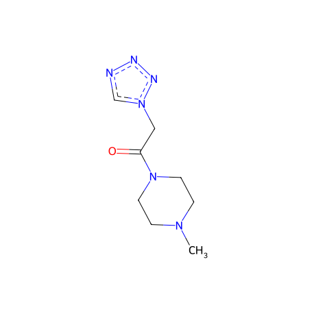 CN1CCN(C(=O)Cn2cnnn2)CC1